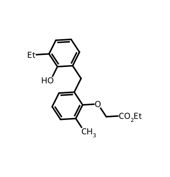 CCOC(=O)COc1c(C)cccc1Cc1cccc(CC)c1O